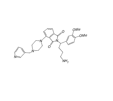 COc1ccc(C(CCCN)N2C(=O)c3cccc(N4CCN(Cc5cccnc5)CC4)c3C2=O)cc1OC